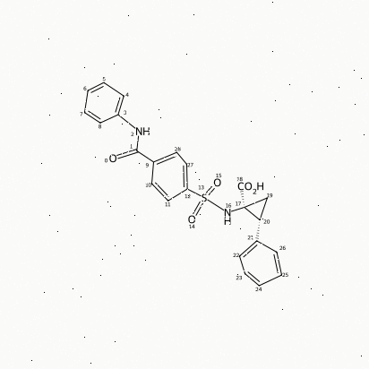 O=C(Nc1ccccc1)c1ccc(S(=O)(=O)N[C@@]2(C(=O)O)C[C@@H]2c2ccccc2)cc1